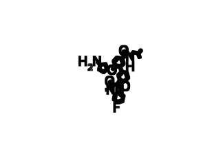 CNC(=O)c1c(-c2ccc(F)cc2)oc2ccc(-c3cc(C(=O)NCC(C)C)ccc3OC3CCC(N)C3)cc12